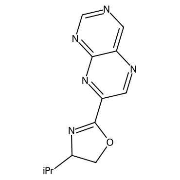 CC(C)C1COC(c2cnc3cncnc3n2)=N1